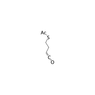 CC(=O)SCCC=C=O